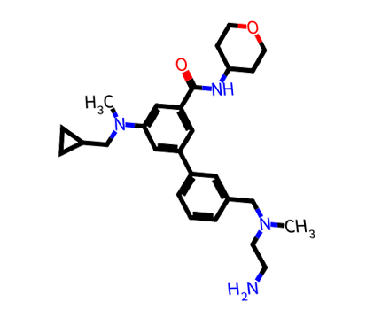 CN(CCN)Cc1cccc(-c2cc(C(=O)NC3CCOCC3)cc(N(C)CC3CC3)c2)c1